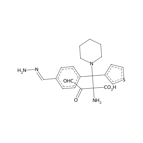 NN=Cc1ccc(C(c2ccsc2)(N2CCCCC2)C(N)(C(=O)O)C(=O)C=O)cc1